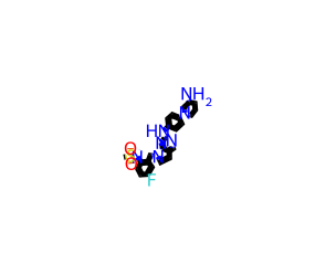 CN(c1ccc(F)cc1Cn1ccc2cnc(Nc3ccc(N4CCCC(N)C4)cc3)nc21)S(C)(=O)=O